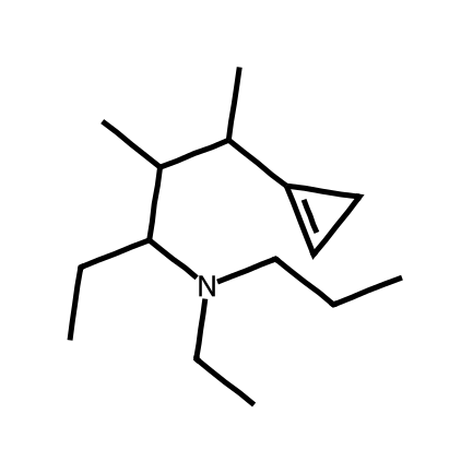 CCCN(CC)C(CC)C(C)C(C)C1=CC1